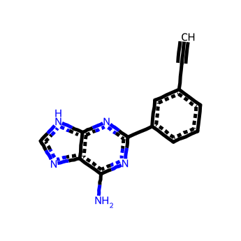 C#Cc1cccc(-c2nc(N)c3nc[nH]c3n2)c1